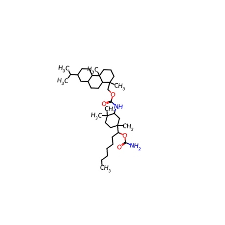 CCCCCCC(OC(N)=O)C1(C)CCC(C)(C)C(NC(=O)OCC2(C)CCCC3(C)C4CCC(C(C)C)CC4CCC23)C1